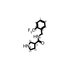 O=C(NCc1ccccc1C(F)(F)F)C1CCNC1